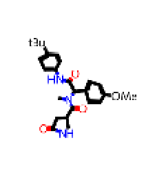 COc1ccc(C(C(=O)Nc2ccc(C(C)(C)C)cc2)N(C)C(=O)C2CNC(=O)C2)cc1